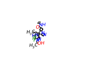 CC(C)Cc1[nH]c(-c2cnn(CC(C)O)c2C(F)(F)F)c(-c2ccncn2)c1-c1cccc(C(=O)NC2CCC2)c1